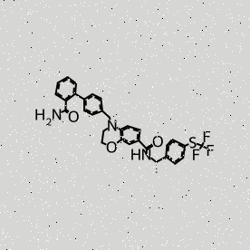 C[C@H](NC(=O)c1ccc2c(c1)OCCN2Cc1ccc(-c2ccccc2C(N)=O)cc1)c1ccc(SC(F)(F)F)cc1